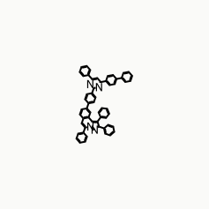 c1ccc(-c2ccc(-c3cc(-c4ccccc4)nc(-c4ccc(-c5ccc6cc(-c7ccccc7)n7nc(-c8ccccc8)c(-c8ccccc8)c7c6c5)cc4)n3)cc2)cc1